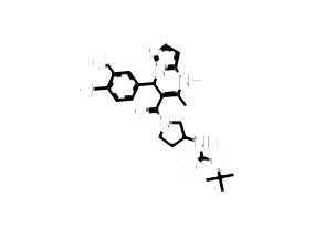 CC1=C(C(=O)N2CCC(NC(=O)OC(C)(C)C)C2)C(c2ccc(Cl)c(Cl)c2)n2nccc2N1